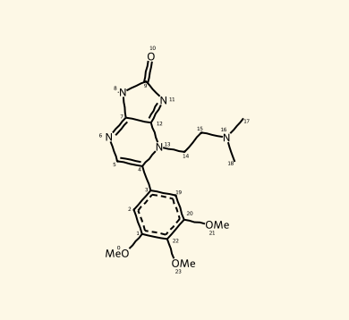 COc1cc(C2=CN=C3[N]C(=O)N=C3N2CCN(C)C)cc(OC)c1OC